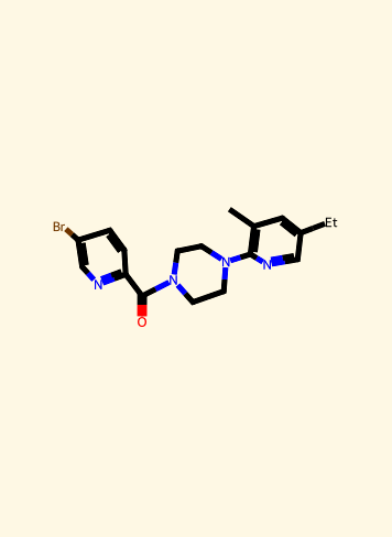 CCc1cnc(N2CCN(C(=O)c3ccc(Br)cn3)CC2)c(C)c1